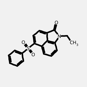 CCN1C(=O)c2ccc(S(=O)(=O)c3ccccc3)c3cccc1c23